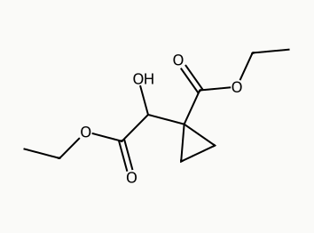 CCOC(=O)C(O)C1(C(=O)OCC)CC1